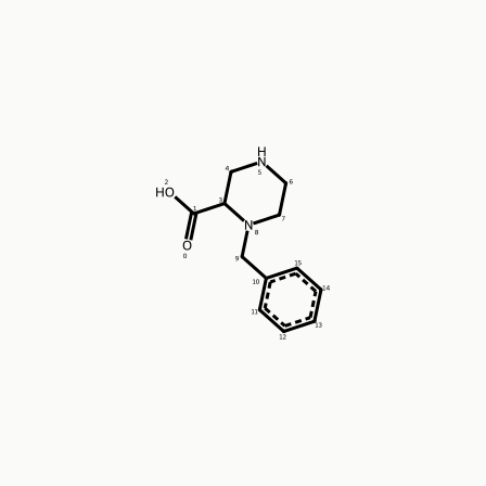 O=C(O)C1CNCCN1Cc1ccccc1